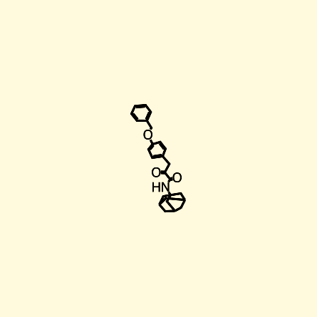 O=C(Cc1ccc(OCc2ccccc2)cc1)C(=O)NC12CC3CC(CC(C3)C1)C2